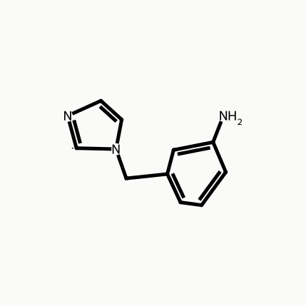 Nc1cccc(Cn2[c]ncc2)c1